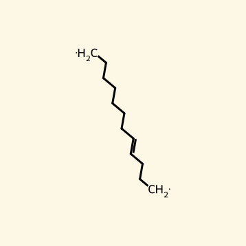 [CH2]CCC=CCCCCCC[CH2]